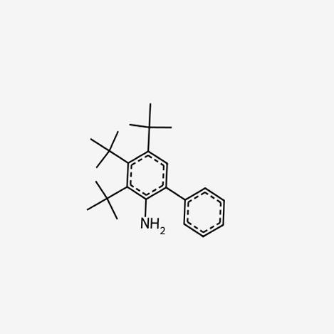 CC(C)(C)c1cc(-c2ccccc2)c(N)c(C(C)(C)C)c1C(C)(C)C